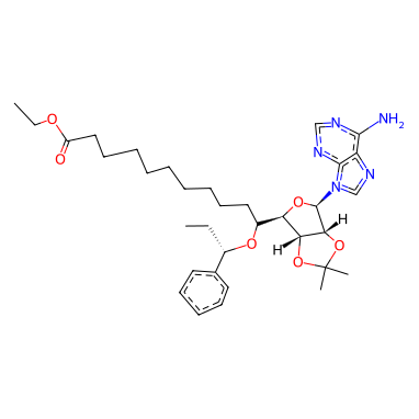 CCOC(=O)CCCCCCCCCC(O[C@@H](CC)c1ccccc1)[C@H]1O[C@@H](n2cnc3c(N)ncnc32)[C@@H]2OC(C)(C)O[C@@H]21